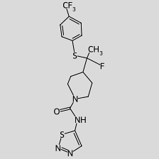 CC(F)(Sc1ccc(C(F)(F)F)cc1)C1CCN(C(=O)Nc2cnns2)CC1